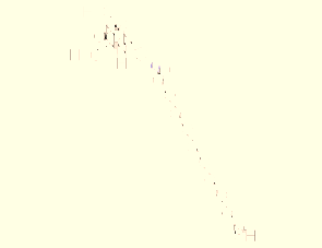 CCCn1c(=O)c2nc(-c3ccc(/C=C/C(=O)OCCOCCOCCOCCOCCOCCOCCOCCOCCOC)cc3)[nH]c2n(CCC)c1=O